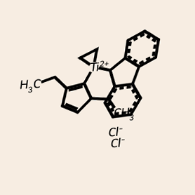 CCC1=[C]([Ti+2]2([CH]3c4ccccc4-c4ccccc43)[CH2][CH2]2)C(CC)C=C1.[Cl-].[Cl-]